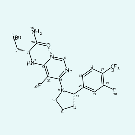 CC(C)(C)C[C@@H](Nc1ncnc(N2CCCC2c2ccc(C(F)(F)F)c(F)c2)c1F)C(N)=O